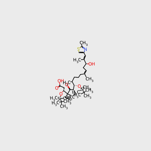 CC[C@@H](C(=O)C1([C@H](CC(=O)O)O[Si](C)(C)C(C)(C)C)CCC1)[C@@H](O[Si](C)(C)C(C)(C)C)[C@@H](C)CCC/C(C)=C\C[C@H](O)/C(C)=C/c1csc(C)n1